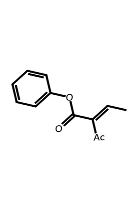 CC=C(C(C)=O)C(=O)Oc1ccccc1